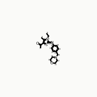 CCn1c(C)c(C(C)=O)s/c1=N\c1ccc(CN2CCOCC2)cc1